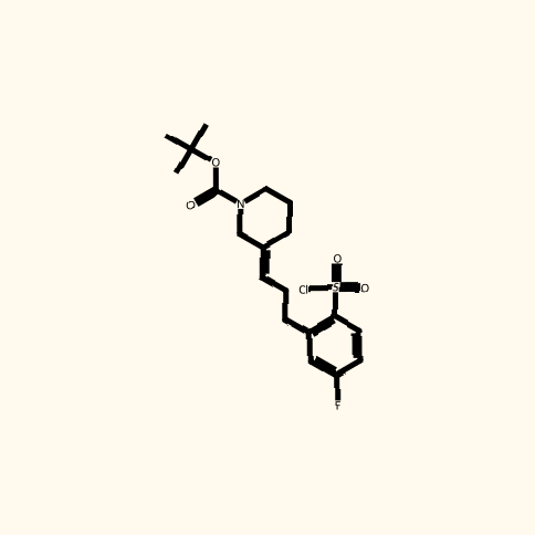 CC(C)(C)OC(=O)N1CCC/C(=C\CCc2cc(F)ccc2S(=O)(=O)Cl)C1